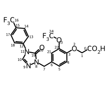 O=C(O)COc1ccc(Cn2ncn(-c3ccc(C(F)(F)F)cc3)c2=O)cc1OC(F)(F)F